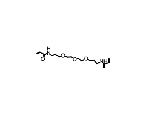 C=CC(=C)NCCCOCCOCCOCCCNC(=O)C=C